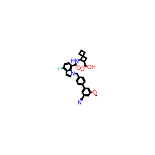 COc1cc(C#N)cc(-c2ccc(Cn3ccc4c(F)ccc(C(=O)NC5C(C(=O)O)CC56CCC6)c43)cc2)c1